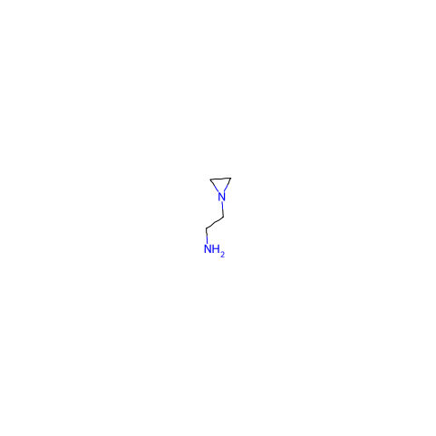 NCCN1CC1